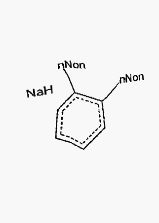 CCCCCCCCCc1ccccc1CCCCCCCCC.[NaH]